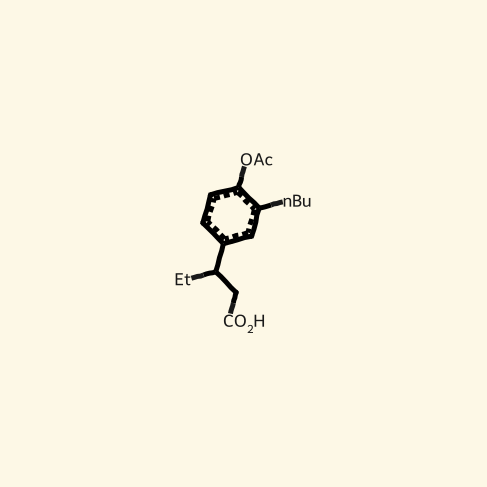 CCCCc1cc(C(CC)CC(=O)O)ccc1OC(C)=O